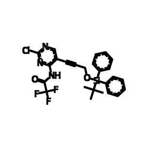 CC(C)(C)[Si](OCC#Cc1cnc(Cl)nc1NC(=O)C(F)(F)F)(c1ccccc1)c1ccccc1